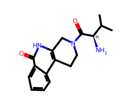 CC(C)[C@@H](N)C(=O)N1CCc2c([nH]c(=O)c3ccccc23)C1